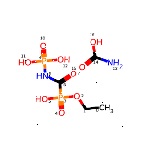 CCOP(=O)(O)C(=O)NP(=O)(O)O.NC(=O)O